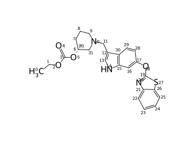 CCOC(=O)O[C@@H]1CCCN(Cc2c[nH]c3cc(Oc4nc5ccccc5s4)ccc23)C1